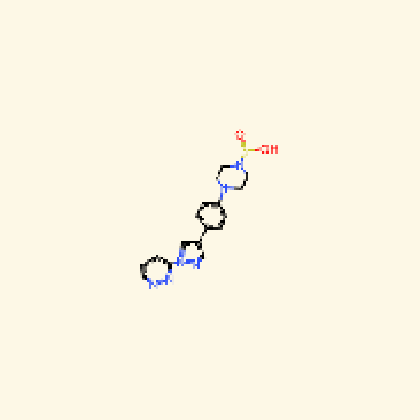 O=S(O)N1CCN(c2ccc(-c3cnn(-c4cccnn4)c3)cc2)CC1